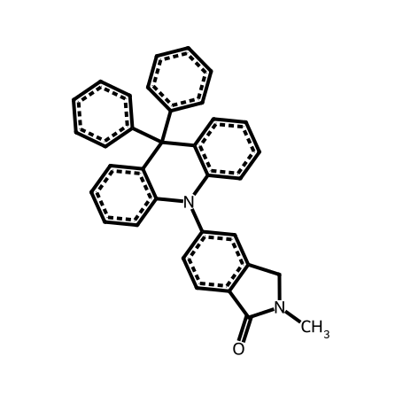 CN1Cc2cc(N3c4ccccc4C(c4ccccc4)(c4ccccc4)c4ccccc43)ccc2C1=O